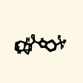 O=C(N[C@H]1C2CCN(CC2)C12CC2)c1cc2ccc(C(F)(F)F)cc2s1